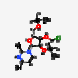 [2H]C1=NC([2H])N([C@@H]2O[C@H](CO[Si](C)(C)C(C)(C)C)[C@@H](OCCl)[C@H]2O[Si](C)(C)C(C)(C)C)C=C1